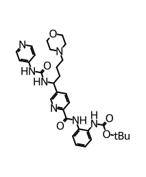 CC(C)(C)OC(=O)Nc1ccccc1NC(=O)c1ccc(C(CCCN2CCOCC2)NC(=O)Nc2ccncc2)cn1